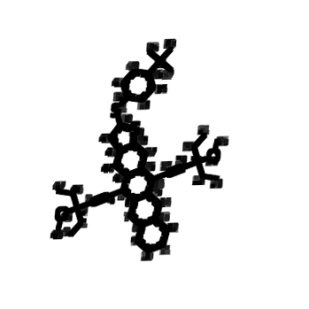 CCC(C#Cc1c2cc3ccccc3cc2c(C#CC(CC)(CC)OC)c2cc3sc(Sc4ccc(C(C)(C)C)cc4)cc3cc12)(CC)OC